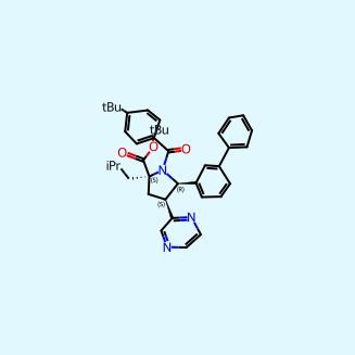 CC(C)C[C@@]1(C(=O)OC(C)(C)C)C[C@H](c2cnccn2)[C@H](c2cccc(-c3ccccc3)c2)N1C(=O)c1ccc(C(C)(C)C)cc1